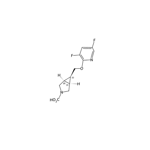 O=C(O)N1C[C@@H]2[C@H](COc3ncc(F)cc3F)[C@@H]2C1